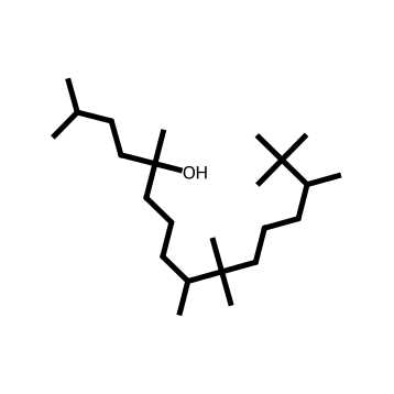 CC(C)CCC(C)(O)CCCC(C)C(C)(C)CCCC(C)C(C)(C)C